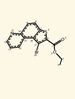 CCOC(=O)c1sc2ccc3ncccc3c2c1Br